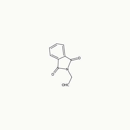 O=[C]CN1C(=O)c2ccccc2C1=O